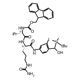 CC(C)[C@H](NC(=O)OCC1c2ccccc2-c2ccccc21)C(=O)N[C@@H](CCCNC(N)=O)C(=O)Nc1ccc(C(O)[Si](C)(C)C(C)(C)C)c(I)c1